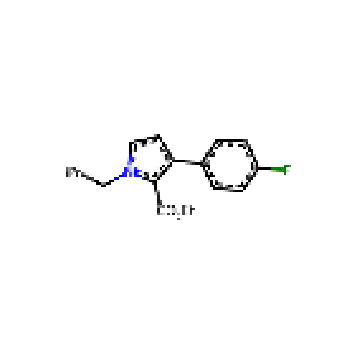 CCOC(=O)c1c(-c2ccc(F)cc2)ccn1CC(C)C